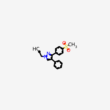 C#CCn1cc(-c2ccccc2)c(-c2ccc(S(C)(=O)=O)cc2)n1